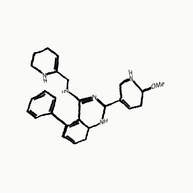 COC1CC=C(C2N=C(NCC3=CCCCN3)C3=C(c4ccccc4)C=CCC3N2)CN1